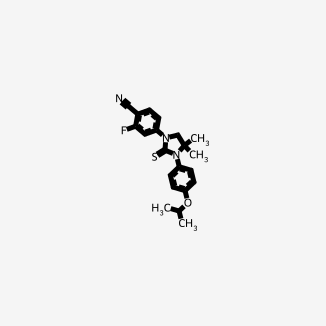 CC(C)Oc1ccc(N2C(=S)N(c3ccc(C#N)c(F)c3)CC2(C)C)cc1